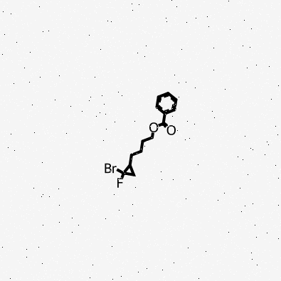 O=C(OCCCCC1CC1(F)Br)c1ccccc1